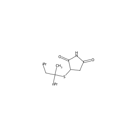 CCCC(C)(CC(C)C)SC1CC(=O)NC1=O